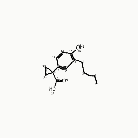 CCCCc1cc(C2(C(=O)O)CC2)ccc1O